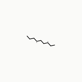 CC[CH]CC[CH]CCC